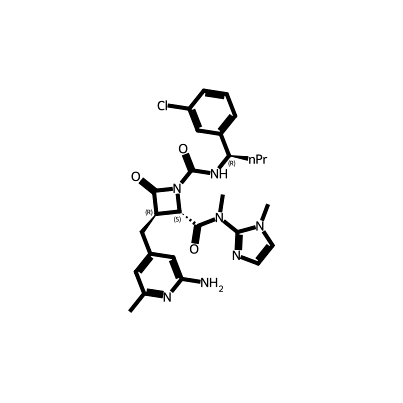 CCC[C@@H](NC(=O)N1C(=O)[C@H](Cc2cc(C)nc(N)c2)[C@H]1C(=O)N(C)c1nccn1C)c1cccc(Cl)c1